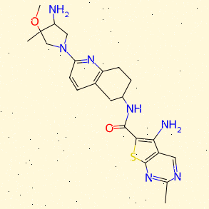 COC1(C)CN(c2ccc3c(n2)CCC(NC(=O)c2sc4nc(C)ncc4c2N)C3)CC1N